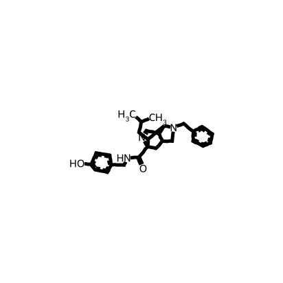 CC(C)CC1C2C3C=NC1(C(=O)NCc1ccc(O)cc1)CC3CN2Cc1ccccc1